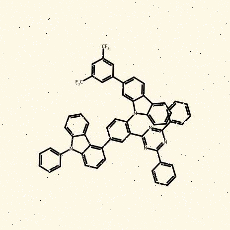 FC(F)(F)c1cc(-c2ccc3c4ccccc4n(-c4ccc(-c5cccc6c5c5ccccc5n6-c5ccccc5)cc4-c4nc(-c5ccccc5)nc(-c5ccccc5)n4)c3c2)cc(C(F)(F)F)c1